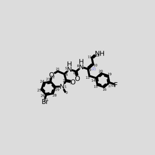 CN1C(=O)C(NC(=O)N/C(=C\C=N)Cc2ccc(F)cc2)COc2ccc(Br)cc21